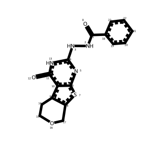 O=C(NNc1nc2sc3c(c2c(=O)[nH]1)CCOC3)c1ccccc1